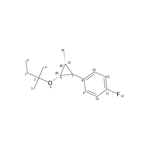 CCC(C)(C)O[C@H]1C(c2ccc(F)cc2)[C@H]1C